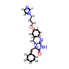 O=C1NC2=Nc3ccc(OCCCn4ccnc4)cc3CN2C1Cc1ccccc1